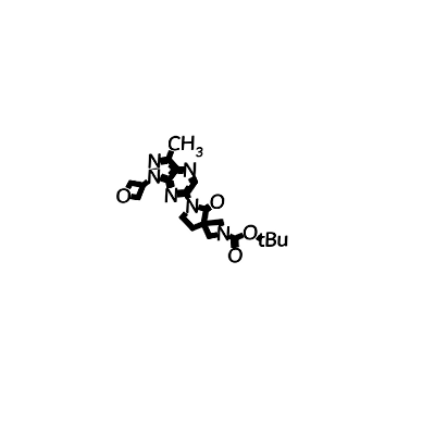 Cc1nn(C2COC2)c2nc(N3CCC4(CN(C(=O)OC(C)(C)C)C4)C3=O)cnc12